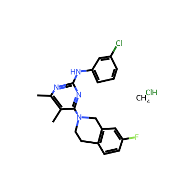 C.Cc1nc(Nc2cccc(Cl)c2)nc(N2CCc3ccc(F)cc3C2)c1C.Cl